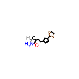 CC(CCC1C=CC(C2SCCS2)C1)C(N)=O